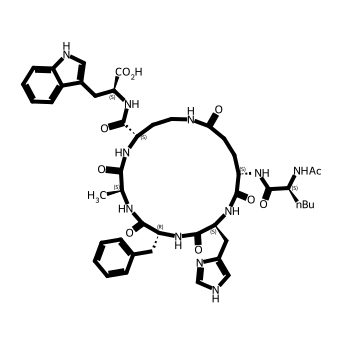 CCCC[C@H](NC(C)=O)C(=O)N[C@H]1CCC(=O)NCC[C@@H](C(=O)N[C@@H](Cc2c[nH]c3ccccc23)C(=O)O)NC(=O)[C@H](C)NC(=O)[C@@H](Cc2ccccc2)NC(=O)[C@H](Cc2c[nH]cn2)NC1=O